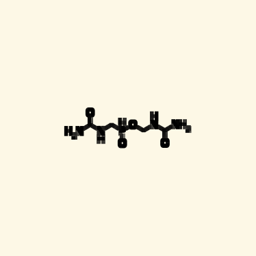 NC(=O)NCO[PH](=O)CNC(N)=O